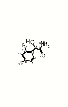 NC(=O)C(O)c1ccc(F)cc1F